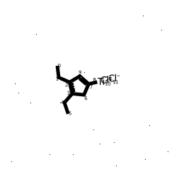 CCC1=C(CC)C[C]([Ti+2])=C1.[Cl-].[Cl-]